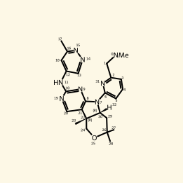 CNCc1cccc(N2c3nc(Nc4cnnc(C)c4)ncc3[C@@]3(C)COC(C)(C)C[C@@H]23)n1